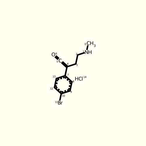 CNCCC(=C=O)c1ccc(Br)cc1.Cl